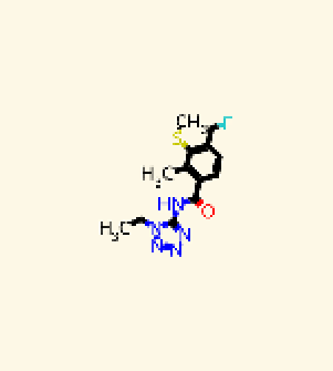 CCn1nnnc1NC(=O)c1ccc(CF)c(SC)c1C